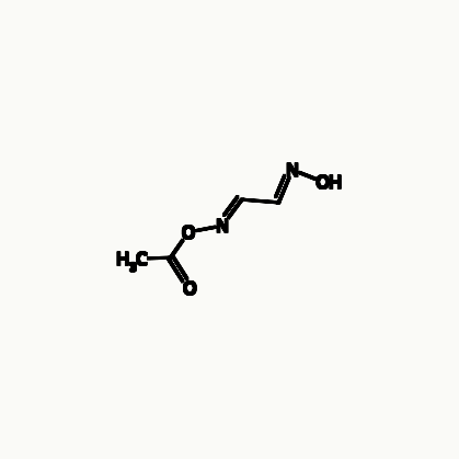 CC(=O)ON=CC=NO